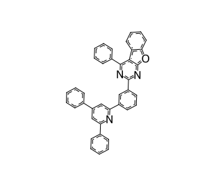 c1ccc(-c2cc(-c3ccccc3)nc(-c3cccc(-c4nc(-c5ccccc5)c5c(n4)oc4ccccc45)c3)c2)cc1